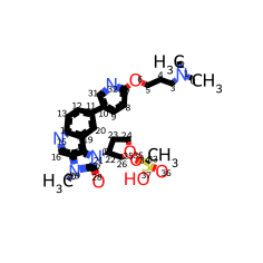 CN(C)CCCOc1ccc(-c2ccc3ncc4c(c3c2)n([C@@H]2CCOC2)c(=O)n4C)cn1.CS(=O)(=O)O